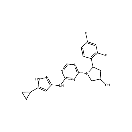 OC1CC(c2ccc(F)cc2F)N(c2ncnc(Nc3cc(C4CC4)[nH]n3)n2)C1